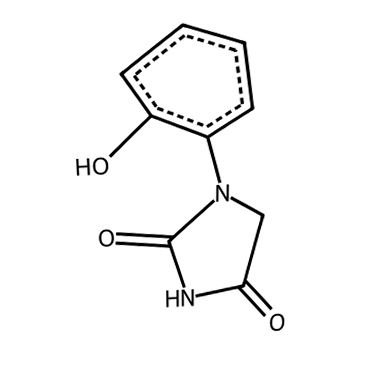 O=C1CN(c2ccccc2O)C(=O)N1